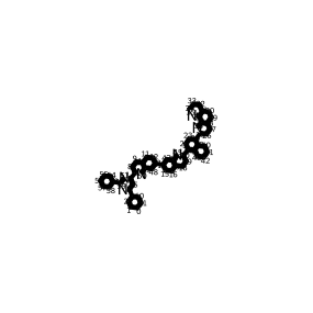 c1ccc(-c2cc(-c3ccc4ccc(-c5ccc6ccc(-c7ccc(-c8ccc9ccc%10cccnc%10c9n8)c8ccccc78)nc6c5)cc4n3)nc(-c3ccccc3)n2)cc1